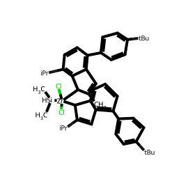 CC1=Cc2c(-c3ccc(C(C)(C)C)cc3)ccc(C(C)C)c2[CH]1[Zr]([Cl])([Cl])([CH]1C(C(C)C)=Cc2c(-c3ccc(C(C)(C)C)cc3)cccc21)[SiH](C)C